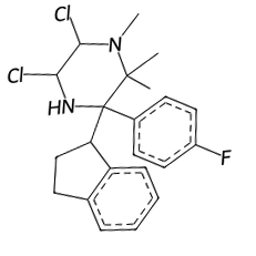 CN1C(Cl)C(Cl)NC(c2ccc(F)cc2)(C2CCc3ccccc32)C1(C)C